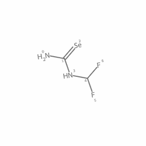 NC(=[Se])NC(F)F